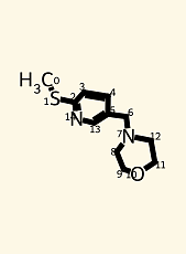 CSc1ccc(CN2CCOCC2)cn1